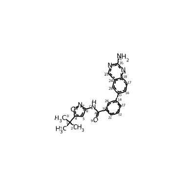 CC(C)(C)c1cc(NC(=O)c2cccc(-c3ccc4nc(N)ncc4c3)c2)no1